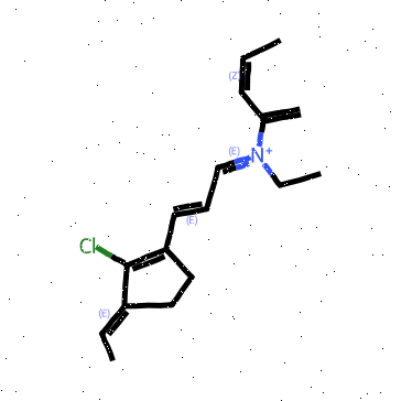 C=C(/C=C\C)/[N+](=C/C=C/C1=C(Cl)C(=C/C)/CC1)CC